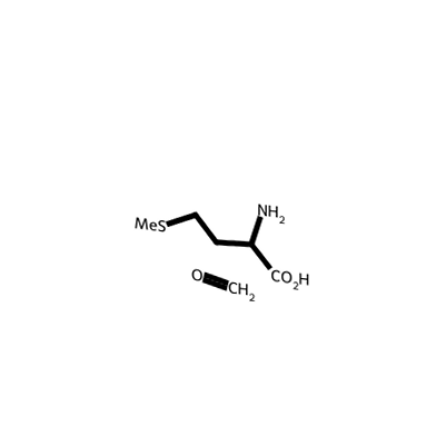 C=O.CSCCC(N)C(=O)O